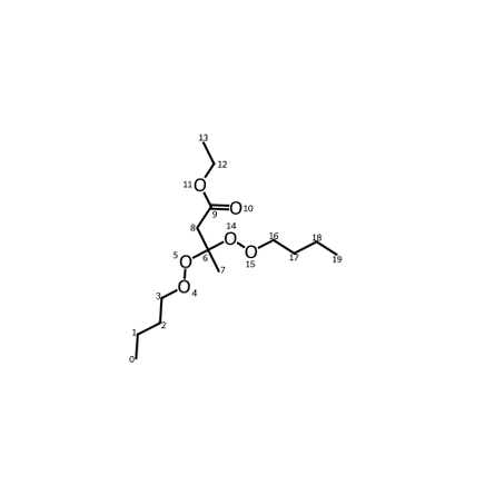 CCCCOOC(C)(CC(=O)OCC)OOCCCC